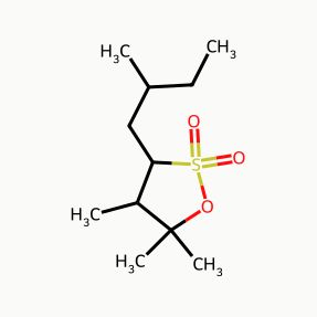 CCC(C)CC1C(C)C(C)(C)OS1(=O)=O